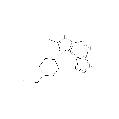 [CH2]c1nc2cnc3[nH]ccc3c2n1[C@H]1CC[C@H](CC#N)CC1